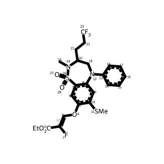 CCOC(=O)/C(F)=C/Oc1cc2c(cc1SC)N(c1ccccc1)CC(CCC(F)(F)F)N(C)S2(=O)=O